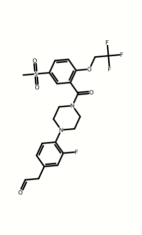 CS(=O)(=O)c1ccc(OCC(F)(F)F)c(C(=O)N2CCN(c3ccc(CC=O)cc3F)CC2)c1